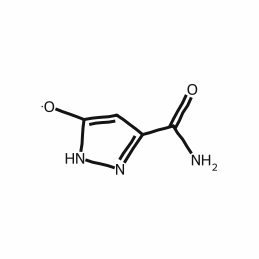 NC(=O)c1cc([O])[nH]n1